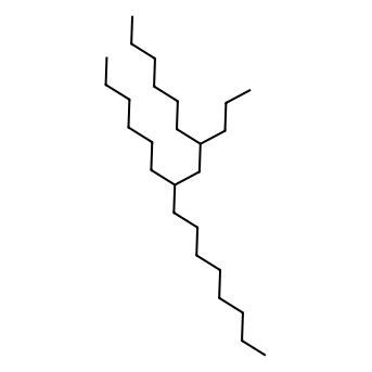 CCCCCCCCC(CCCCCC)CC(CCC)CCCCCC